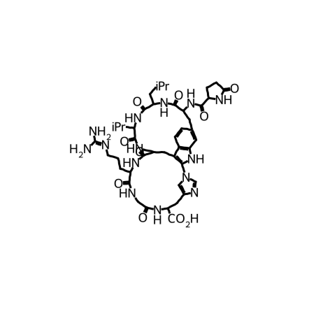 CC(C)CC1NC(=O)C(NC(=O)C2CCC(=O)N2)Cc2ccc3c4c([nH]c3c2)-n2cnc(c2)CC(C(=O)O)NC(=O)CNC(=O)C(CCCN=C(N)N)NC(=O)C(C4)NC(=O)C(C(C)C)NC1=O